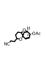 CC(=O)O[C@@H]1C=CC23C[C@H]1OC2CCC(CCC#N)O3